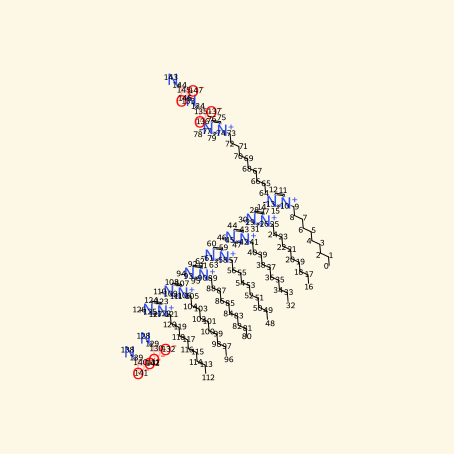 CCCCCCCCCC[n+]1ccn(C)c1.CCCCCCCCCC[n+]1ccn(C)c1.CCCCCCCCCC[n+]1ccn(C)c1.CCCCCCCCCC[n+]1ccn(C)c1.CCCCCCCCCC[n+]1ccn(C)c1.CCCCCCCCCC[n+]1ccn(C)c1.CCCCCCCCCC[n+]1ccn(C)c1.CCCCCCCCCC[n+]1ccn(C)c1.N#CB([O-])[O-].N#CB([O-])[O-].N#CB([O-])[O-].N#CB([O-])[O-]